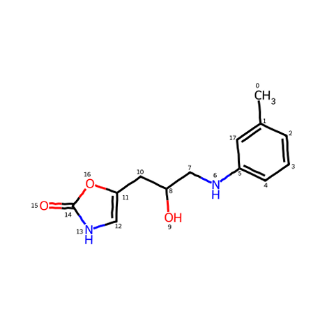 Cc1cccc(NCC(O)Cc2c[nH]c(=O)o2)c1